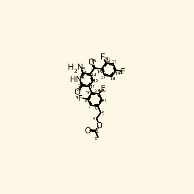 CC(=O)OCCc1cc(F)c(-c2cc(C(=O)c3ccc(F)cc3F)c(N)[nH]c2=O)c(F)c1